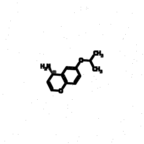 CC(C)Oc1ccc2c(c1)[C@@H](N)C=CO2